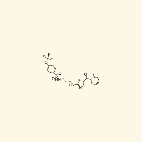 Cc1ccccc1C(=O)c1cnc(NCCCNS(=O)(=O)c2ccc(OC(F)(F)F)cc2)s1